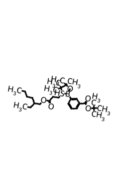 CCCCC(CC)COC(=O)CC[SH]1B(c2cccc(C(=O)OC(C)(C)C)c2)OC(C)(C)C1(C)C